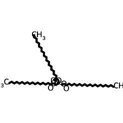 CCCCCCCCCCCCCCCCCCCC(=O)OC[C@H](COC(=O)CCCCCCCCCCCCCCCCC)OC(=O)CCCCCCCCCCCCCCCCCCC